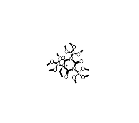 CC[N+]1([Si](OC)(OC)OC)C(=O)N([Si](OC)(OC)OC)C(=O)N([Si](OC)(OC)OC)C1=O